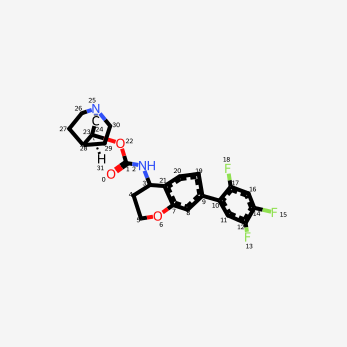 O=C(NC1CCOc2cc(-c3cc(F)c(F)cc3F)ccc21)O[C@@H]1CN2CCC1CC2